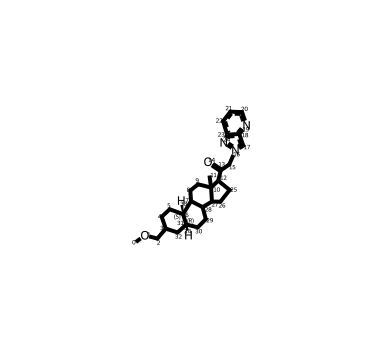 COCC1CC[C@@H]2C3CCC4(C)C(C(=O)Cn5cc6ncccc6n5)CCC4C3CC[C@@H]2C1